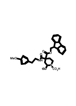 COc1ccc(CCNC(=O)C2(C(=O)OCC3c4ccccc4-c4ccccc43)CCN(C(=O)O)C(C(C)(C)C)C2)cc1